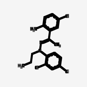 CCCN(/N=C(\C)c1cc(Cl)ccc1N)c1ccc(Cl)cc1Cl